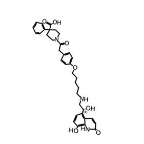 O=C(Cc1ccc(OCCCCCNC[C@H](O)c2ccc(O)c3[nH]c(=O)ccc23)cc1)N1CCC(C(=O)O)(c2ccccc2)CC1